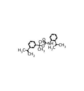 C=C(C)c1cccc(C(C)(C)OC(=O)Nc2ccccc2C(=C)C)c1